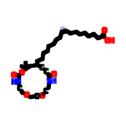 CC1(C)CC(CCCCCCCC/C=C\CCCCCCCC(=O)O)CCC(=O)NCCOCCOCCNC(=O)O1